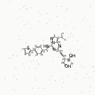 CC(C)c1cnn2c(NCc3ccc(-c4cccs4)cc3)nc(C#CC(CO)[C@@H](C)O)nc12